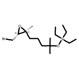 CC[Si](CC)(CC)OC(C)(C)CCC[C@]1(C)O[C@H]1CBr